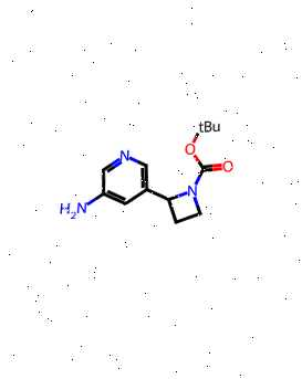 CC(C)(C)OC(=O)N1CCC1c1cncc(N)c1